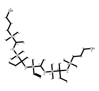 C=C[Si](C)(OC(C)(CC)[Si](C)(C)OC(C)[Si](C)(C)CCCO)C(C)O[Si](C)(C)C(C)(CC)O[Si](C)(C)CCCO